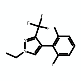 CCn1cc(-c2c(C)cccc2I)c(C(F)(F)F)n1